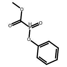 COC(=O)[PH](=O)Oc1ccccc1